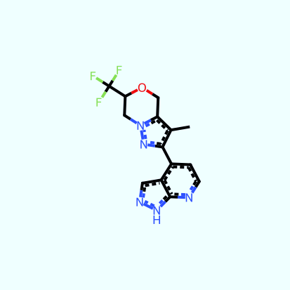 Cc1c(-c2ccnc3[nH]ncc23)nn2c1COC(C(F)(F)F)C2